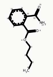 CCCCOC(=O)c1ccccc1C(N)=O